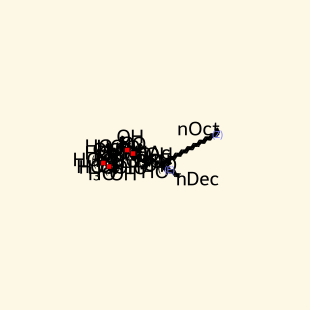 CCCCCCCC/C=C\CCCCCCCCCCCCCCCC(=O)N[C@@H](CO[C@@H]1OC(CO)[C@@H](O[C@@H]2OC(CO)[C@H](O[C@@H]3OC(CO)[C@H](O)[C@H](O[C@@H]4OC(CO)[C@H](O)[C@H](O[C@H]5OC(CO)[C@H](O)[C@H](O)C5O)C4O[C@H]4OC(C)[C@@H](O)C(O)[C@@H]4O)C3NC(C)=O)[C@H](O)C2O)[C@H](O)C1O)[C@H](O)/C=C/CCCCCCCCCCCCC